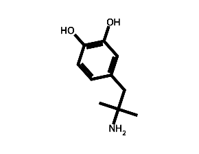 CC(C)(N)Cc1ccc(O)c(O)c1